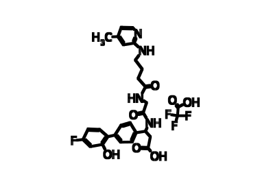 Cc1ccnc(NCCCC(=O)NCC(=O)NC(CC(=O)O)c2ccc(-c3ccc(F)cc3O)cc2)c1.O=C(O)C(F)(F)F